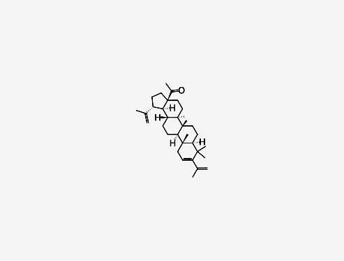 C=C(C)C1=CC[C@]2(C)[C@H]3CC[C@@H]4[C@H]5[C@H](C(=C)C)CC[C@]5(C(C)=O)CC[C@@]4(C)[C@]3(C)CC[C@H]2C1(C)C